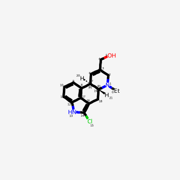 CCN1CC(CO)=C[C@@H]2c3cccc4[nH]c(Cl)c(c34)C[C@H]21